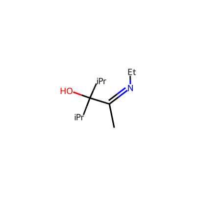 CCN=C(C)C(O)(C(C)C)C(C)C